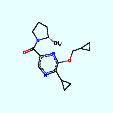 [CH2][C@H]1CCCN1C(=O)c1cnc(C2CC2)c(OCC2CC2)n1